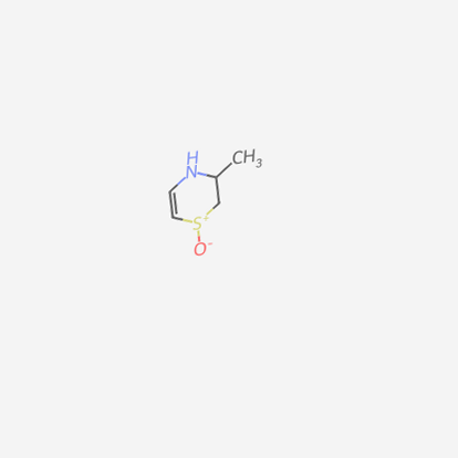 CC1C[S+]([O-])C=CN1